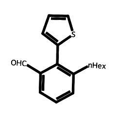 CCCCCCc1cccc(C=O)c1-c1cccs1